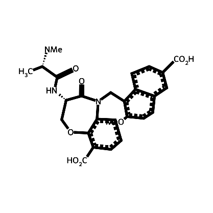 CN[C@@H](C)C(=O)N[C@H]1COc2c(C(=O)O)cccc2N(Cc2c(OC)ccc3cc(C(=O)O)ccc23)C1=O